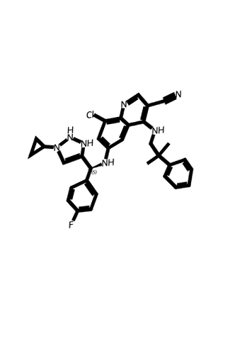 CC(C)(CNc1c(C#N)cnc2c(Cl)cc(N[C@H](C3=CN(C4CC4)NN3)c3ccc(F)cc3)cc12)c1ccccc1